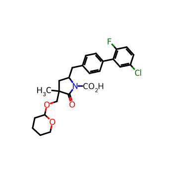 CC1(COC2CCCCO2)CC(Cc2ccc(-c3cc(Cl)ccc3F)cc2)N(C(=O)O)C1=O